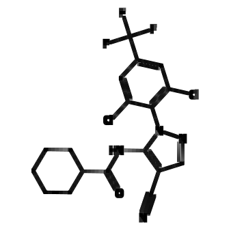 N#Cc1cnn(-c2c(Cl)cc(C(F)(F)F)cc2Cl)c1NC(=O)C1CCCCC1